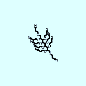 N#CCCOCC(OCCC#N)C(OCCC#N)C(OCCC#N)C(OCCC#N)C(OCCC#N)C(OCCC#N)C(COCCC#N)OCCC#N